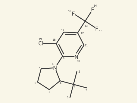 CC(C)(C)C1CCCN1c1ncc(C(F)(F)F)cc1Cl